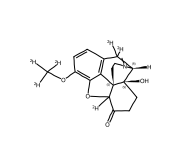 [2H]C([2H])([2H])Oc1ccc2c3c1OC1([2H])C(=O)CC[C@@]4(O)[C@H](N(C)CC[C@]314)C2([2H])[2H]